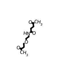 CC(=O)CCOCCNC(=O)CCC(C)=O